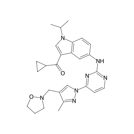 Cc1nn(-c2ccnc(Nc3ccc4c(c3)c(C(=O)C3CC3)cn4C(C)C)n2)cc1CN1CCCO1